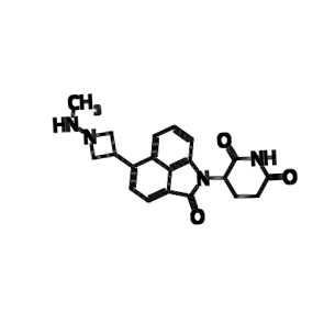 CNN1CC(c2ccc3c4c(cccc24)N(C2CCC(=O)NC2=O)C3=O)C1